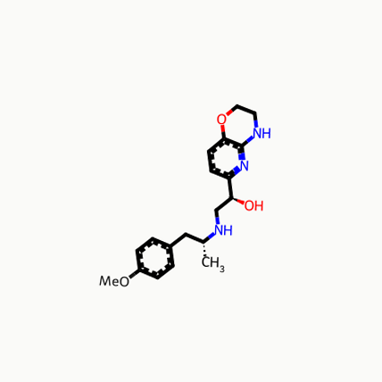 COc1ccc(C[C@@H](C)NC[C@H](O)c2ccc3c(n2)NCCO3)cc1